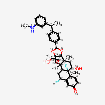 CNc1cccc([C@@H](C)c2ccc([C@@H]3O[C@@H]4C[C@H]5C6C[C@H](F)C7=CC(=O)C=C[C@]7(C)[C@@]6(F)[C@@H](O)C[C@]5(C)[C@]4(C(=O)CO)O3)cc2)c1